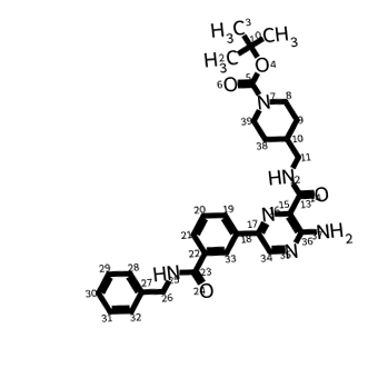 CC(C)(C)OC(=O)N1CCC(CNC(=O)c2nc(-c3cccc(C(=O)NCc4ccccc4)c3)cnc2N)CC1